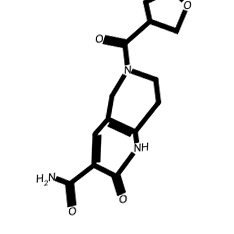 NC(=O)c1cc2c([nH]c1=O)CCN(C(=O)C1CCOC1)C2